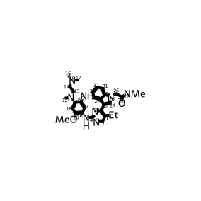 CCc1cnc(Nc2cc(N)c(N(C)CCN(C)C)cc2OC)nc1-c1cn(CC(=O)NC)c2ccccc12